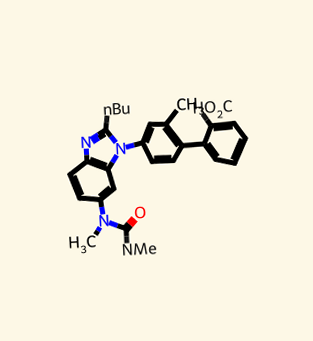 CCCCc1nc2ccc(N(C)C(=O)NC)cc2n1-c1ccc(-c2ccccc2C(=O)O)c(C)c1